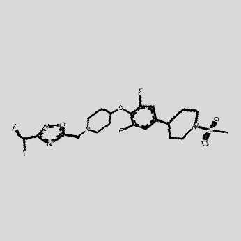 CS(=O)(=O)N1CCC(c2cc(F)c(OC3CCN(Cc4nc(C(F)F)no4)CC3)c(F)c2)CC1